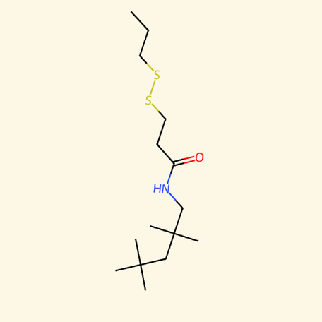 CCCSSCCC(=O)NCC(C)(C)CC(C)(C)C